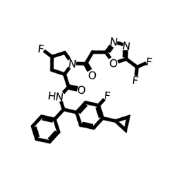 O=C(NC(c1ccccc1)c1ccc(C2CC2)c(F)c1)C1CC(F)CN1C(=O)Cc1nnc(C(F)F)o1